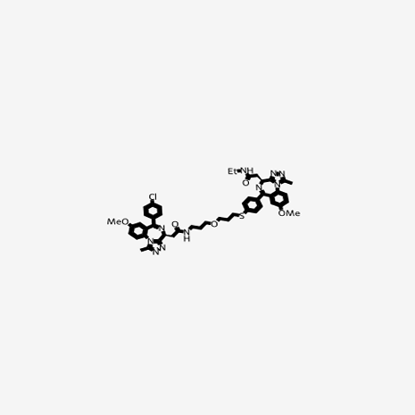 CCNC(=O)C[C@@H]1N=C(c2ccc(SCCCOCCCNC(=O)C[C@@H]3N=C(c4ccc(Cl)cc4)c4cc(OC)ccc4-n4c(C)nnc43)cc2)c2cc(OC)ccc2-n2c(C)nnc21